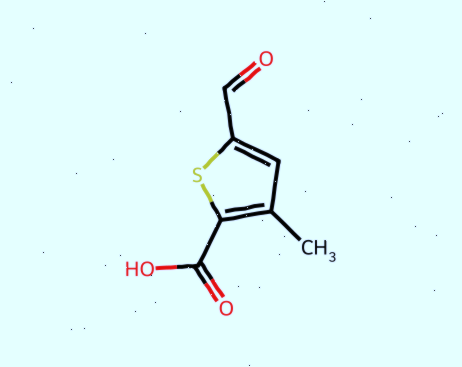 Cc1cc(C=O)sc1C(=O)O